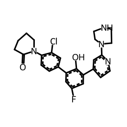 O=C1CCCCN1c1ccc(-c2cc(F)cc(-c3ccnc(N4CCNCC4)c3)c2O)cc1Cl